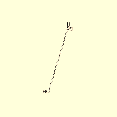 OCCCCCCCCCCCCCCCCCCCCCCCCCCCCCC[SiH](Cl)Cl